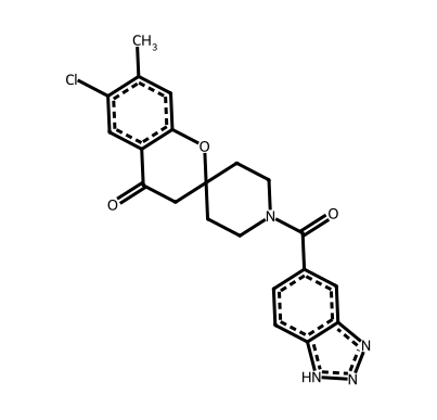 Cc1cc2c(cc1Cl)C(=O)CC1(CCN(C(=O)c3ccc4[nH]nnc4c3)CC1)O2